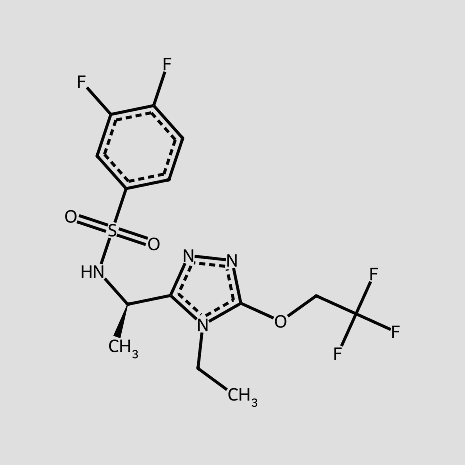 CCn1c(OCC(F)(F)F)nnc1[C@@H](C)NS(=O)(=O)c1ccc(F)c(F)c1